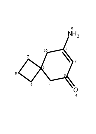 NC1=CC(=O)CC2(CCC2)C1